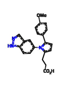 COc1ccc(-c2ccc(CCC(=O)O)n2-c2ccc3[nH]ncc3c2)cc1